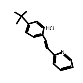 CC(C)(C)c1ccc(C=Cc2ccccn2)cc1.Cl